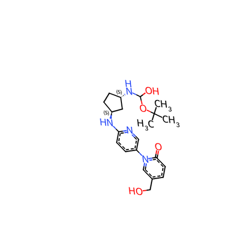 CC(C)(C)OC(O)N[C@H]1CC[C@H](Nc2ccc(-n3cc(CO)ccc3=O)cn2)C1